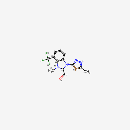 Cc1nnc(N2c3cccc(C(F)(F)F)c3N(C)C2C=O)s1